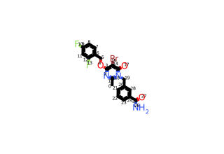 Cc1nc(OCc2ccc(F)cc2F)c(Br)c(=O)n1Cc1cccc(C(N)=O)c1